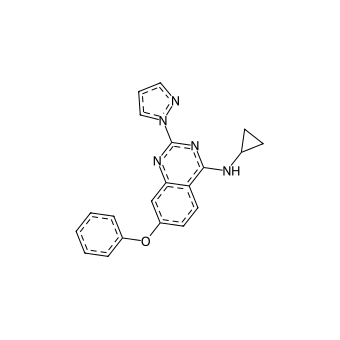 c1ccc(Oc2ccc3c(NC4CC4)nc(-n4cccn4)nc3c2)cc1